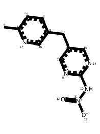 Cc1ccc(Cc2cnc(N[N+](=O)[O-])nc2)cn1